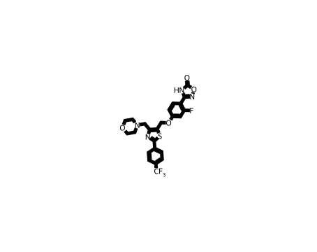 O=c1[nH]c(-c2ccc(OCc3sc(-c4ccc(C(F)(F)F)cc4)nc3CN3CCOCC3)cc2F)no1